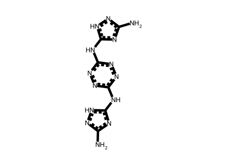 Nc1n[nH]c(Nc2nnc(Nc3nc(N)n[nH]3)nn2)n1